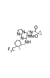 COC1(C(=O)N2Cc3c(N[C@H](C)c4cccc(C(F)(F)F)c4C)nc4nccn4c3C2)CC1